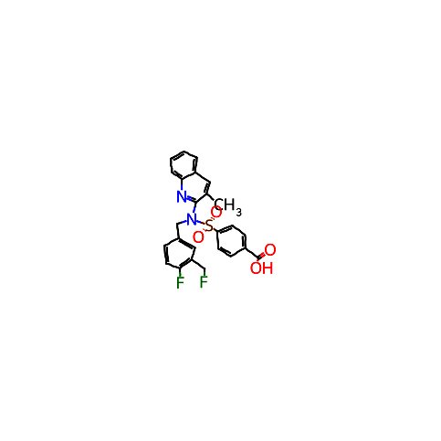 Cc1cc2ccccc2nc1N(Cc1ccc(F)c(CF)c1)S(=O)(=O)c1ccc(C(=O)O)cc1